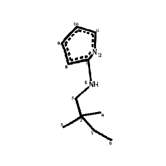 CCC(C)(C)CNc1ccccn1